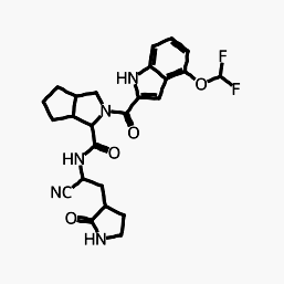 N#CC(CC1CCNC1=O)NC(=O)C1C2CCCC2CN1C(=O)c1cc2c(OC(F)F)cccc2[nH]1